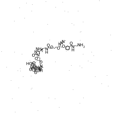 [N-]=[N+]=NCOC1CC(n2cc(C#CCNC(=O)COCCOC(COc3cccc(C(=O)NCCN)c3)N=[N+]=[N-])c(N)nc2=O)O[C@H]1COP(=O)(O)OP(=O)(O)OP(=O)(O)O